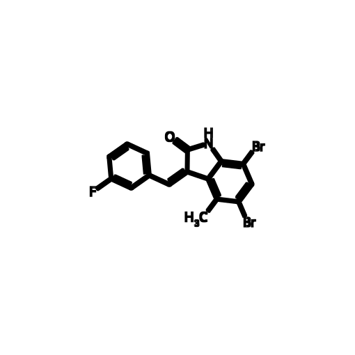 Cc1c(Br)cc(Br)c2c1C(=Cc1cccc(F)c1)C(=O)N2